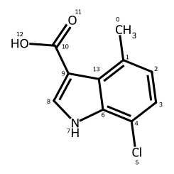 Cc1ccc(Cl)c2[nH]cc(C(=O)O)c12